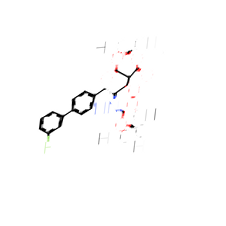 CC(C)(C)OC(=O)N[C@@H](Cc1ccc(-c2cccc(F)c2)cc1)C(=O)C1C(=O)OC(C)(C)OC1=O